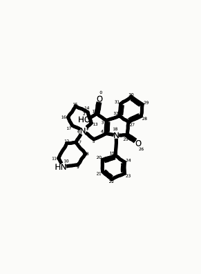 O=C(O)c1c(C[N+]2(C3CCNCC3)CCCCC2)n(-c2ccccc2)c(=O)c2ccccc12